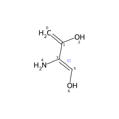 C=C(O)/C(N)=C/O